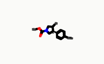 CCC1CN(C(=O)OC(C)(C)C)C[C@H]1c1ccc(OC)cc1